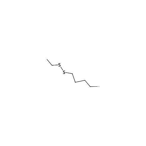 [CH2]CCCCSSCC